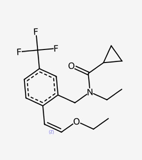 CCO/C=C\c1ccc(C(F)(F)F)cc1CN(CC)C(=O)C1CC1